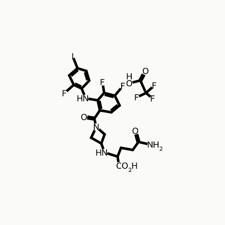 NC(=O)CCC(NC1CN(C(=O)c2ccc(F)c(F)c2Nc2ccc(I)cc2F)C1)C(=O)O.O=C(O)C(F)(F)F